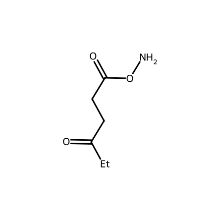 CCC(=O)CCC(=O)ON